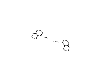 c1cc(OCCOCCOc2cccc3ncccc23)c2cccnc2c1